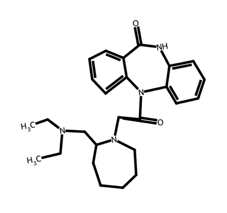 CCN(CC)CC1CCCCCN1CC(=O)N1c2ccccc2NC(=O)c2ccccc21